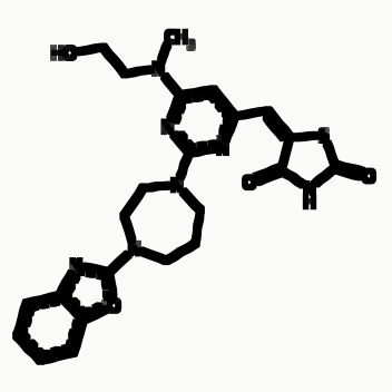 CN(CCO)c1cc(C=C2SC(=O)NC2=O)nc(N2CCCN(c3nc4ccccc4o3)CC2)n1